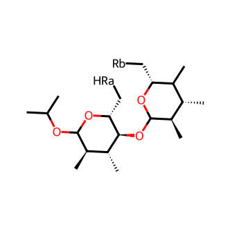 CC(C)OC1O[C@H]([CH2][RaH])[C@@H](OC2O[C@H]([CH2][Rb])C(C)[C@H](C)[C@H]2C)[C@H](C)[C@H]1C